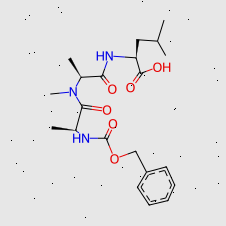 CC(C)C[C@H](NC(=O)[C@H](C)N(C)C(=O)[C@H](C)NC(=O)OCc1ccccc1)C(=O)O